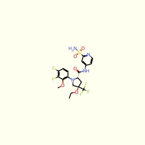 CCO[C@]1(C(F)(F)F)C[C@@H](C(=O)Nc2ccnc(S(N)(=O)=O)c2)N(c2ccc(F)c(F)c2OC)C1